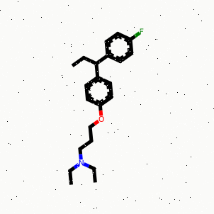 CC[C](c1ccc(F)cc1)c1ccc(OCCCN(CC)CC)cc1